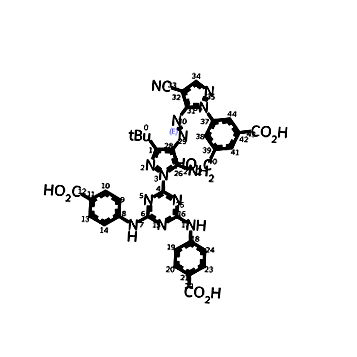 CC(C)(C)c1nn(-c2nc(Nc3ccc(C(=O)O)cc3)nc(Nc3ccc(C(=O)O)cc3)n2)c(N)c1/N=N/c1c(C#N)cnn1-c1cc(C(=O)O)cc(C(=O)O)c1